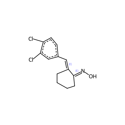 O/N=C1\CCCC\C1=C/c1ccc(Cl)c(Cl)c1